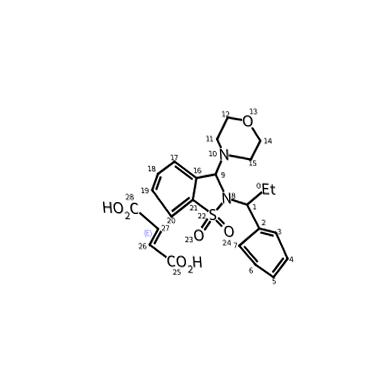 CCC(c1ccccc1)N1C(N2CCOCC2)c2ccccc2S1(=O)=O.O=C(O)/C=C/C(=O)O